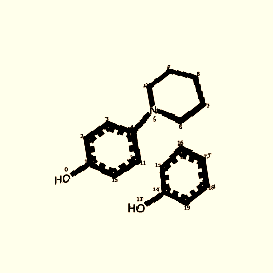 Oc1ccc(N2CCCCC2)cc1.Oc1ccccc1